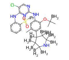 BC(C)(C)Oc1cc(C2(B)C(B)(B)C(B)(B)NC(B)(B)C2(B)B)c(C)cc1Nc1ncc(Cl)c(Nc2ccccc2S(=O)(=O)C(C)C)n1